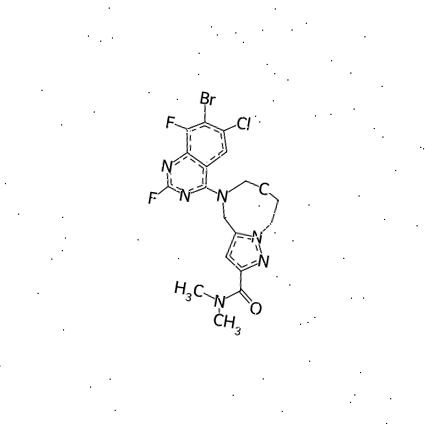 CN(C)C(=O)c1cc2n(n1)CCCCN(c1nc(F)nc3c(F)c(Br)c(Cl)cc13)C2